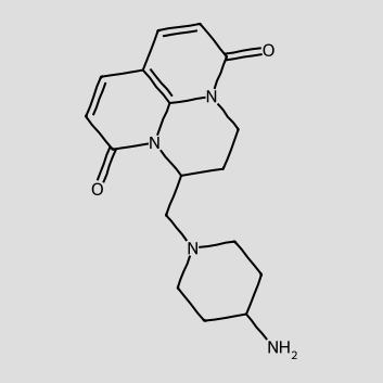 NC1CCN(CC2CCn3c(=O)ccc4ccc(=O)n2c43)CC1